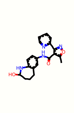 Cc1onc(-c2ccccn2)c1C(=O)Nc1ccc2c(c1)CCCC(O)N2